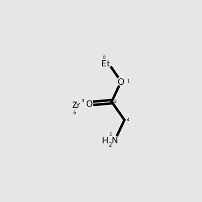 CCOC(=O)CN.[Zr]